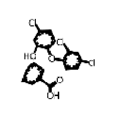 O=C(O)c1ccccc1.Oc1cc(Cl)ccc1Oc1ccc(Cl)cc1Cl